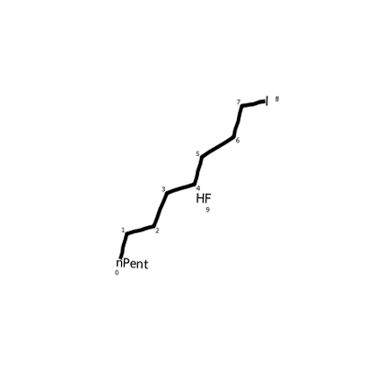 CCCCCCCCCCCCI.F